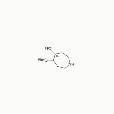 COC1CCNCC[C@H]1O